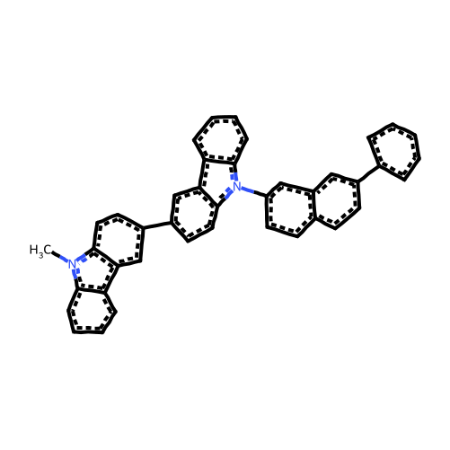 Cn1c2ccccc2c2cc(-c3ccc4c(c3)c3ccccc3n4-c3ccc4ccc(-c5ccccc5)cc4c3)ccc21